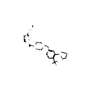 CSNc1ccn(C(=O)N2CCN(Cc3ccc(C(F)(F)F)c(N4CCCC4)c3)CC2)n1